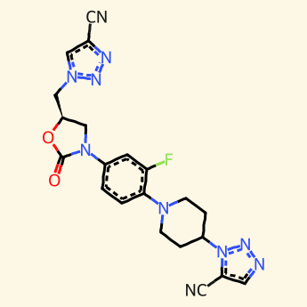 N#Cc1cn(C[C@H]2CN(c3ccc(N4CCC(n5nncc5C#N)CC4)c(F)c3)C(=O)O2)nn1